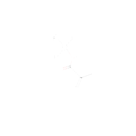 C=C(C)C(=O)[O][Ge]([CH2]C)([CH2]C)[CH2]C